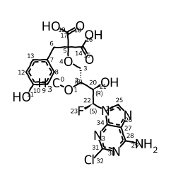 CO[C@H](COC(Cc1ccc(O)cc1)(C(=O)O)C(=O)O)[C@@H](O)[C@H](F)n1cnc2c(N)nc(Cl)nc21